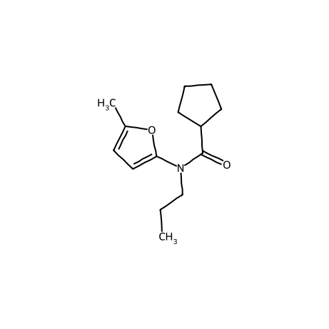 CCCN(C(=O)C1CCCC1)c1ccc(C)o1